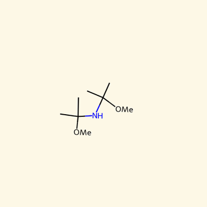 COC(C)(C)NC(C)(C)OC